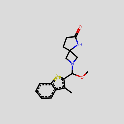 COC(c1sc2ccccc2c1C)N1CC2(CCC(=O)N2)C1